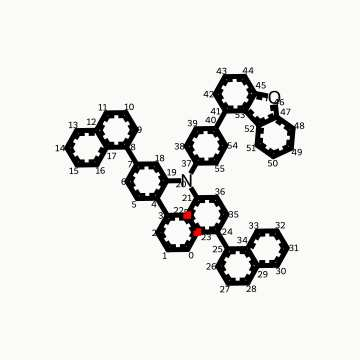 c1ccc(-c2ccc(-c3cccc4ccccc34)cc2N(c2ccc(-c3cccc4ccccc34)cc2)c2ccc(-c3cccc4oc5ccccc5c34)cc2)cc1